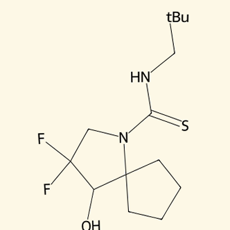 CC(C)(C)CNC(=S)N1CC(F)(F)C(O)C12CCCC2